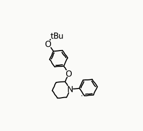 CC(C)(C)Oc1ccc(OC2CCCCN2c2[c]cccc2)cc1